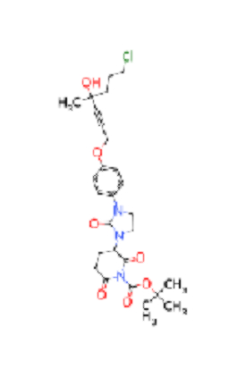 CC(O)(C#CCOc1ccc(N2CCN(C3CCC(=O)N(C(=O)OC(C)(C)C)C3=O)C2=O)cc1)CCCCl